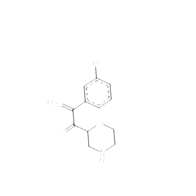 C=C(C(=O)C1CNCCO1)c1cc[c]c(Cl)c1